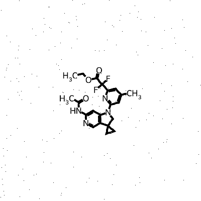 CCOC(=O)C(F)(F)c1cc(C)cc(N2CC3(CC3)c3cnc(NC(C)=O)cc32)n1